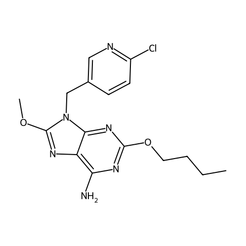 CCCCOc1nc(N)c2nc(OC)n(Cc3ccc(Cl)nc3)c2n1